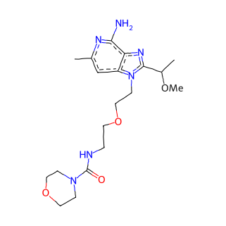 COC(C)c1nc2c(N)nc(C)cc2n1CCOCCNC(=O)N1CCOCC1